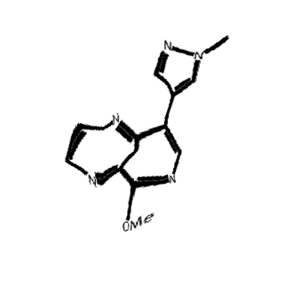 COc1ncc(-c2cnn(C)c2)c2nccnc12